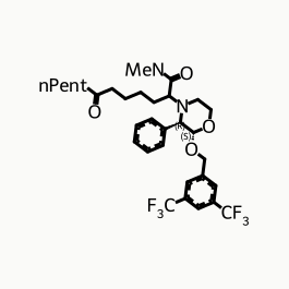 CCCCCC(=O)CCCCC(C(=O)NC)N1CCO[C@H](OCc2cc(C(F)(F)F)cc(C(F)(F)F)c2)[C@H]1c1ccccc1